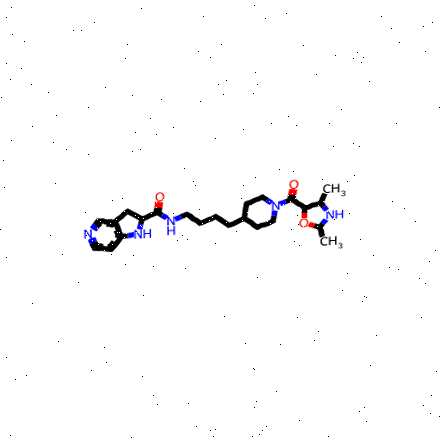 CC1NC(C)C(C(=O)N2CCC(CCCCNC(=O)C3Cc4cnccc4N3)CC2)O1